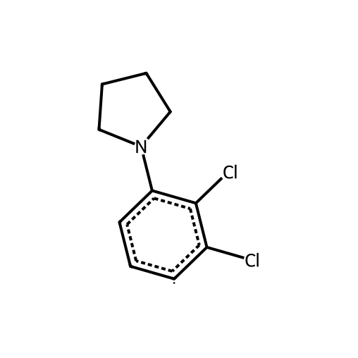 Clc1[c]ccc(N2CCCC2)c1Cl